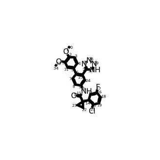 COc1ccc(-c2ccc(NC(=O)C3(c4cc(F)ccc4Cl)CC3)cc2-c2nnn[nH]2)cc1OC